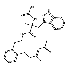 CC(=O)C=C(C)NCc1ccccc1CCNC(=O)C(C)(Cc1c[nH]c2ccccc12)NC(=O)O